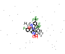 CN(C(=O)N(C)[C@H]1C(C(C)(C)C)N(C(=O)O)C[C@@H]1c1ccc(F)cc1)c1cc(C(F)(F)F)cc(C(F)(F)F)c1